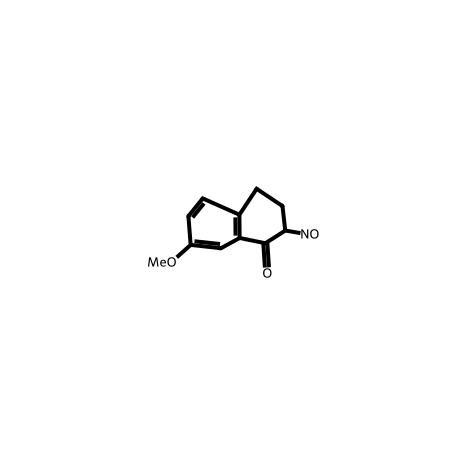 COc1ccc2c(c1)C(=O)C(N=O)CC2